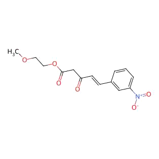 COCCOC(=O)CC(=O)C=Cc1cccc([N+](=O)[O-])c1